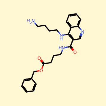 NCCCCNc1c(C(=O)NCCCC(=O)OCc2ccccc2)cnc2ccccc12